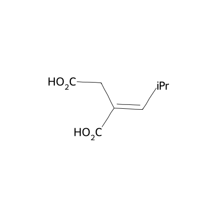 CC(C)C=C(CC(=O)O)C(=O)O